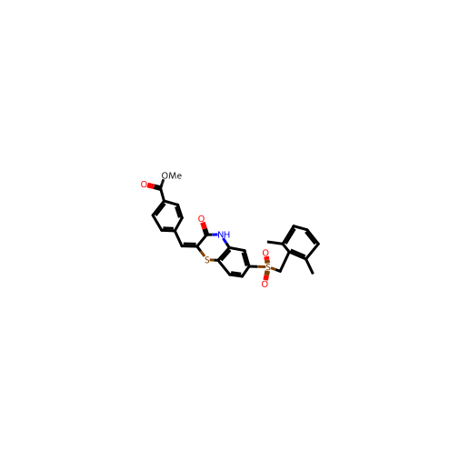 COC(=O)c1ccc(C=C2Sc3ccc(S(=O)(=O)Cc4c(C)cccc4C)cc3NC2=O)cc1